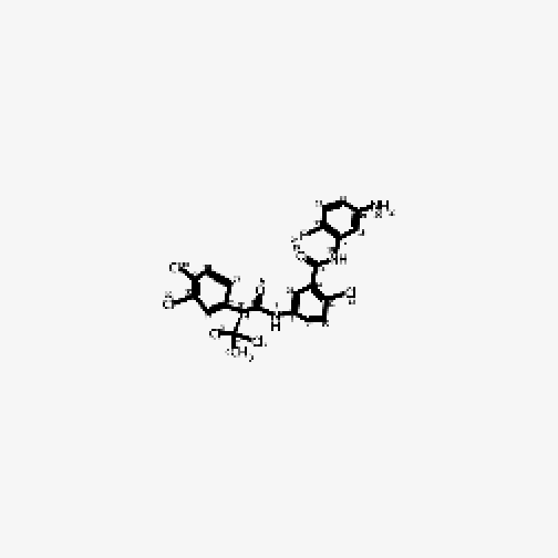 CC(Cl)(Cl)[C@H](C(=O)Nc1ccc(Cl)c(C(=O)Nc2cc(N)ccc2F)c1)c1ccc(Cl)c(Cl)c1